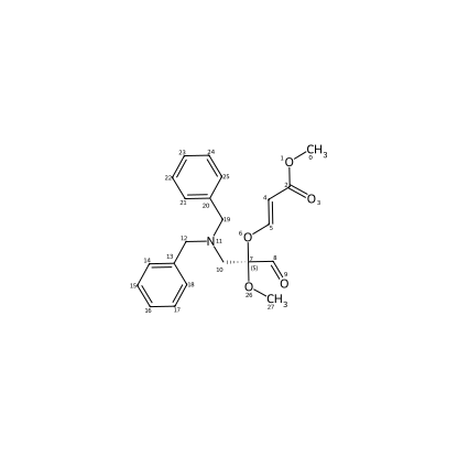 COC(=O)C=CO[C@](C=O)(CN(Cc1ccccc1)Cc1ccccc1)OC